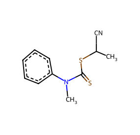 CC(C#N)SC(=S)N(C)c1ccccc1